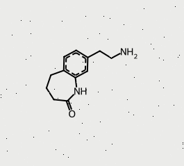 NCCc1ccc2c(c1)NC(=O)CCC2